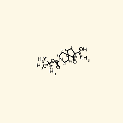 CC(O)C1CCC2(CCN(C(=O)OC(C)(C)C)CC2)C1=O